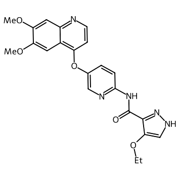 CCOc1c[nH]nc1C(=O)Nc1ccc(Oc2ccnc3cc(OC)c(OC)cc23)cn1